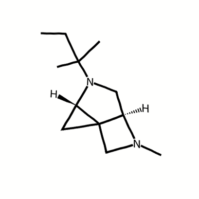 CCC(C)(C)N1C[C@H]2N(C)CC23C[C@H]13